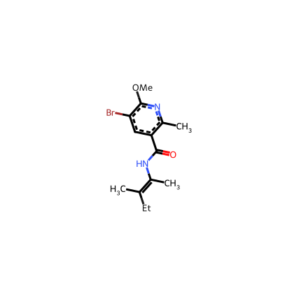 CC/C(C)=C(\C)NC(=O)c1cc(Br)c(OC)nc1C